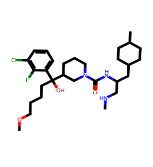 CNCC(CC1CCC(C)CC1)NC(=O)N1CCCC(C(O)(CCCCOC)c2cccc(Cl)c2F)C1